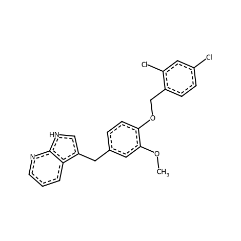 COc1cc(Cc2c[nH]c3ncccc23)ccc1OCc1ccc(Cl)cc1Cl